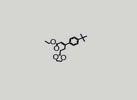 CCOC(=O)/C=C(\CCC1OCCO1)c1ccc(C(C)(C)C)cc1